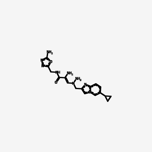 N/C(=C\N(N)Cc1cn2cc(C3CC3)ccc2n1)C(=O)NCc1nnc(N)o1